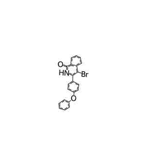 O=c1[nH]c(-c2ccc(Oc3ccccc3)cc2)c(Br)c2ccccc12